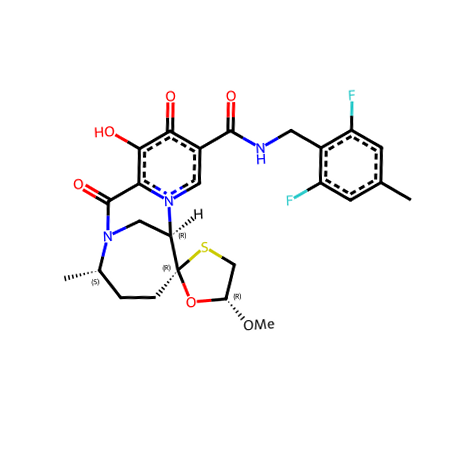 CO[C@H]1CS[C@@]2(CC[C@H](C)N3C[C@H]2n2cc(C(=O)NCc4c(F)cc(C)cc4F)c(=O)c(O)c2C3=O)O1